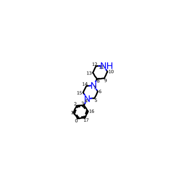 c1ccc(N2CCN(C3CCNCC3)CC2)cc1